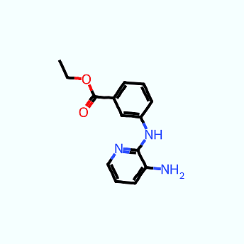 CCOC(=O)c1cccc(Nc2ncccc2N)c1